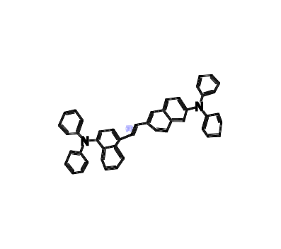 C(=C\c1ccc(N(c2ccccc2)c2ccccc2)c2ccccc12)/c1ccc2cc(N(c3ccccc3)c3ccccc3)ccc2c1